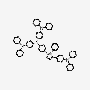 c1ccc(N(c2ccccc2)c2ccc(-c3ccc(-c4ccc(N(c5ccc(N(c6ccccc6)c6ccccc6)cc5)c5ccc(N(c6ccccc6)c6ccccc6)cc5)cc4)n3-c3ccccc3)cc2)cc1